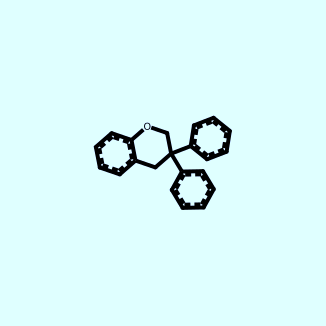 c1ccc(C2(c3ccccc3)COc3ccccc3C2)cc1